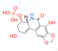 O=C1N[C@@H]2C(=C[C@H](O)C[C@H]2OP(=O)(O)O)c2cc3c(c(O)c21)OCO3